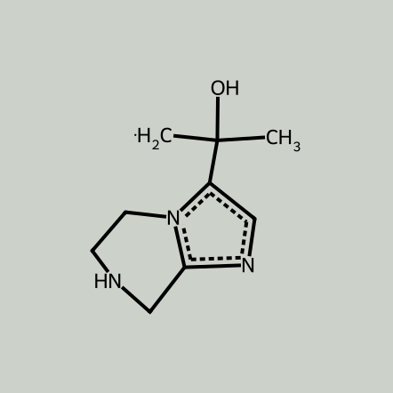 [CH2]C(C)(O)c1cnc2n1CCNC2